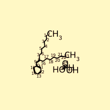 CCCCCCCCC(=Cc1ccccc1)CCCCCCCC.O=[PH](O)O